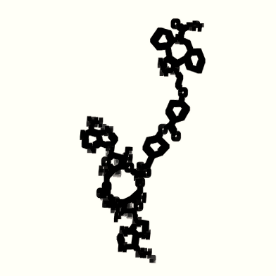 B[P@]1(=O)OC[C@H]2O[C@@H](n3cnc4c(N)ncnc43)[C@H](F)[C@@H]2O[P@@](=O)(SCc2ccc(OC(=O)c3ccc(OCCn4nnc5c4-c4ccccc4CN(C(=O)CCC)c4ccccc4-5)cc3)cc2)OC[C@H]2O[C@@H](n3cnc4c(N)ncnc43)[C@H](F)[C@@H]2O1